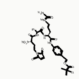 CCC(C)(C)C(=O)OCc1ccc(NC(=O)[C@H](CCCNC(N)=O)NC(=O)C(NC(=O)[C@H](CCN2C(=O)C=CC2=O)S(=O)(=O)O)C(C)C)cc1